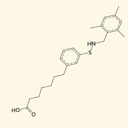 Cc1cc(C)c(CNSc2cccc(CCCCCCC(=O)O)c2)c(C)c1